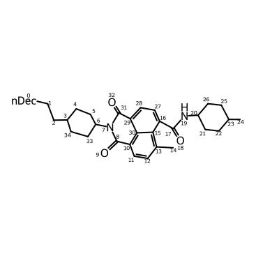 CCCCCCCCCCCCC1CCC(N2C(=O)c3ccc(C)c4c(C(=O)NC5CCC(C)CC5)ccc(c34)C2=O)CC1